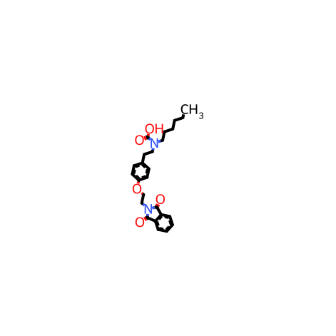 CCCCCCN(CCc1ccc(OCCN2C(=O)c3ccccc3C2=O)cc1)C(=O)O